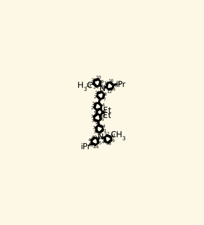 CCC1(CC)c2cc(-c3ccc(N(c4ccc(C(C)C)cc4)c4cccc(C)c4)cc3)ccc2-c2ccc(-c3ccc(N(c4ccc(C(C)C)cc4)c4cccc(C)c4)cc3)cc21